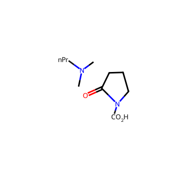 CCCN(C)C.O=C(O)N1CCCC1=O